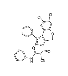 N#CC(C(=O)Nc1ccccc1)C(=O)c1nn(-c2ccccc2)c2c1COc1cc(Cl)c(Cl)cc1-2